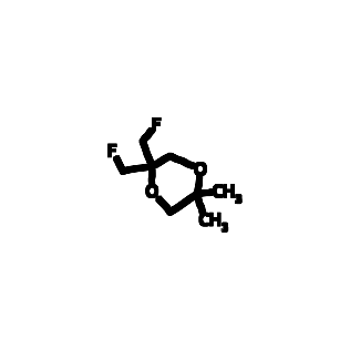 CC1(C)COC(CF)(CF)CO1